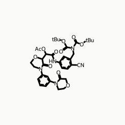 CC(=O)OC(C(=O)Nc1ccc(C#N)c(CN(C(=O)OC(C)(C)C)C(=O)OC(C)(C)C)c1)C1OCCN(c2cccc(N3CCOCC3=O)c2)C1=O